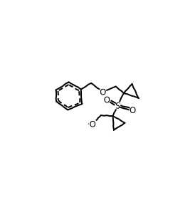 [O]CC1(S(=O)(=O)C2(COCc3ccccc3)CC2)CC1